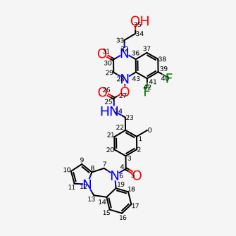 Cc1cc(C(=O)N2Cc3cccn3Cc3ccccc32)ccc1CNC(=O)ON1CC(=O)N(CCO)c2ccc(F)c(F)c21